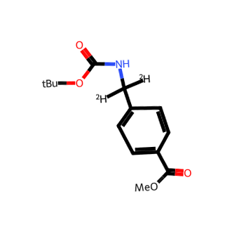 [2H]C([2H])(NC(=O)OC(C)(C)C)c1ccc(C(=O)OC)cc1